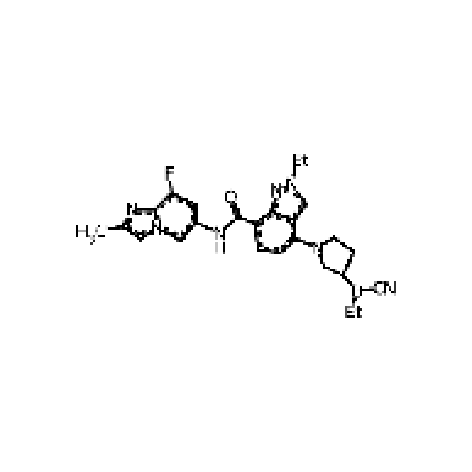 CCB(C#N)C1CCN(c2ccc(C(=O)Nc3cc(F)c4nc(C)cn4c3)c3nn(CC)cc23)C1